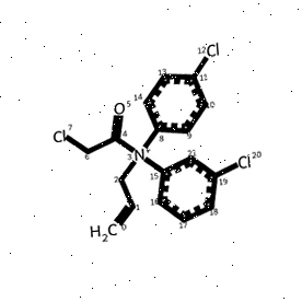 C=CC[N+](C(=O)CCl)(c1ccc(Cl)cc1)c1cccc(Cl)c1